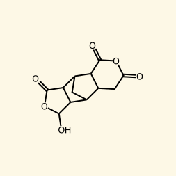 O=C1CC2C3CC(C2C(=O)O1)C1C(=O)OC(O)C31